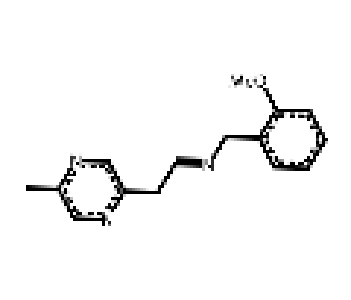 COc1ccccc1CN=CCc1cnc(C)cn1